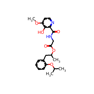 COc1ccnc(C(=O)NCC(=O)OC(C)Cc2ccccc2OC(C)C)c1O